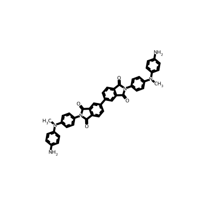 CN(c1ccc(N)cc1)c1ccc(N2C(=O)c3ccc(-c4ccc5c(c4)C(=O)N(c4ccc(N(C)c6ccc(N)cc6)cc4)C5=O)cc3C2=O)cc1